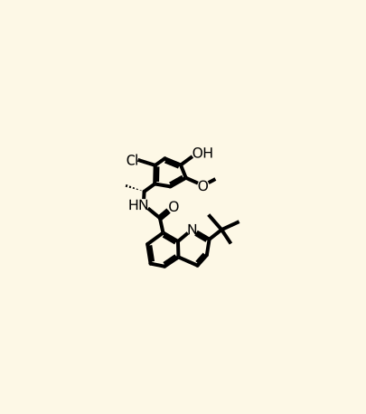 COc1cc([C@@H](C)NC(=O)c2cccc3ccc(C(C)(C)C)nc23)c(Cl)cc1O